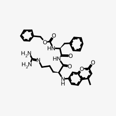 Cc1cc(=O)oc2cc(N[C@@H](CCCN=C(N)N)C(=O)NC(=O)[C@H](Cc3ccccc3)NC(=O)OCc3ccccc3)ccc12